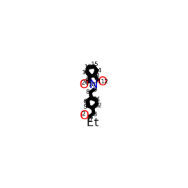 CCC(=O)Cc1ccc(CCN2C(=O)c3ccccc3C2=O)cc1